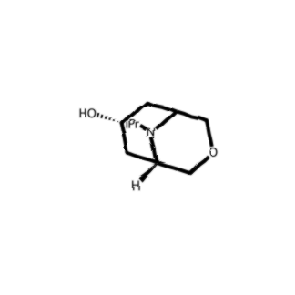 CC(C)N1C2COC[C@@H]1C[C@H](O)C2